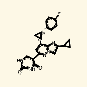 O=c1[nH]cc(-c2cc([C@H]3C[C@@H]3c3ccc(F)cc3)c3nc(C4CC4)cn3n2)c(=O)[nH]1